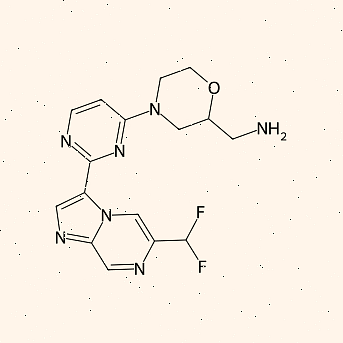 NCC1CN(c2ccnc(-c3cnc4cnc(C(F)F)cn34)n2)CCO1